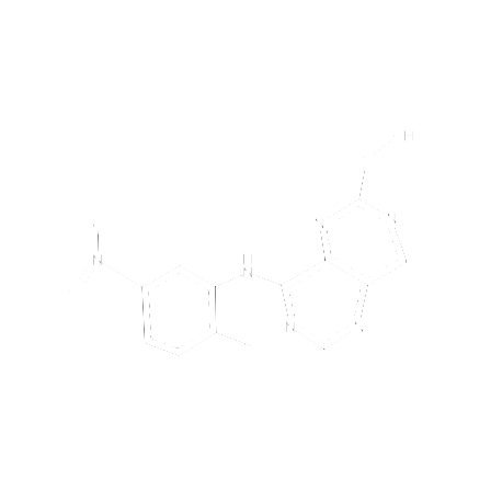 CSc1ncc2ncnc(Nc3cc([N+](=O)[O-])ccc3C)c2n1